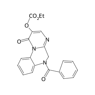 CCOC(=O)Oc1cnc2n(c1=O)-c1ccccc1N(C(=O)c1ccccc1)C2